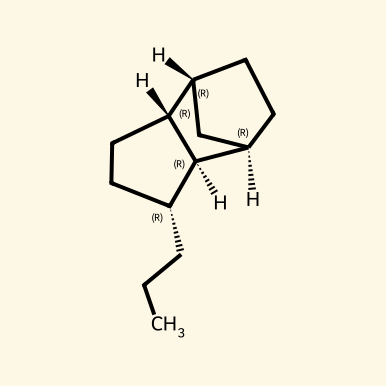 CCC[C@@H]1CC[C@@H]2[C@@H]3CC[C@H](C3)[C@@H]12